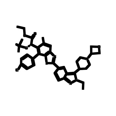 CCOC(=O)[C@@H](OC(C)(C)C)c1c(C)cc2nc(-c3ccc4nn(CC)c(C5CCN(C6COC6)CC5)c4c3)sc2c1-c1ccc(Cl)cc1